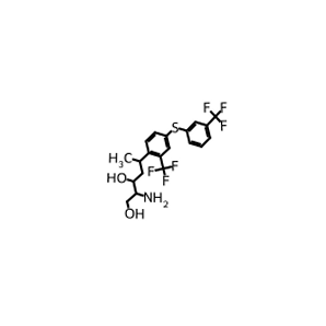 CC(CC(O)C(N)CO)c1ccc(Sc2cccc(C(F)(F)F)c2)cc1C(F)(F)F